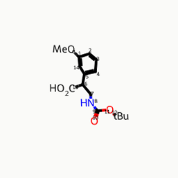 COc1cccc(C(CNC(=O)OC(C)(C)C)C(=O)O)c1